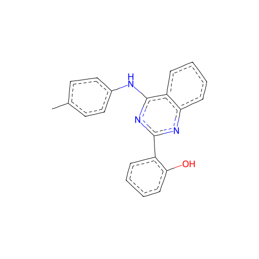 Cc1ccc(Nc2nc(-c3ccccc3O)nc3ccccc23)cc1